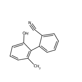 Cc1cccc(O)c1-c1ccccc1C#N